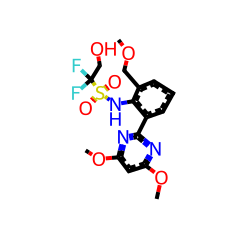 COCc1cccc(-c2nc(OC)cc(OC)n2)c1NS(=O)(=O)C(F)(F)CO